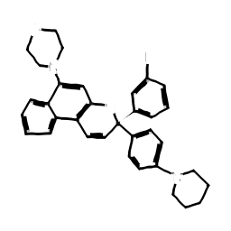 Fc1cccc([C@@]2(c3ccc(N4CCCCC4)cc3)C=Cc3c(cc(N4CCOCC4)c4ccccc34)O2)c1